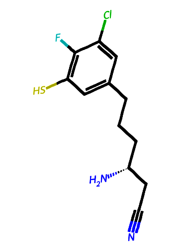 N#CC[C@H](N)CCCc1cc(S)c(F)c(Cl)c1